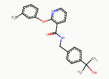 CC(C)(O)c1ccc(CNC(=O)c2cccnc2Oc2cccc([N+](=O)[O-])c2)cc1